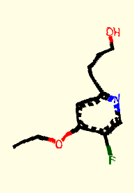 CCOc1cc(CCO)ncc1F